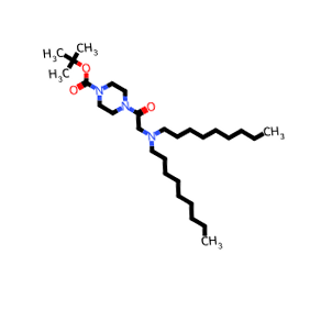 CCCCCCCCCN(CCCCCCCCC)CC(=O)N1CCN(C(=O)OC(C)(C)C)CC1